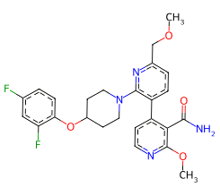 COCc1ccc(-c2ccnc(OC)c2C(N)=O)c(N2CCC(Oc3ccc(F)cc3F)CC2)n1